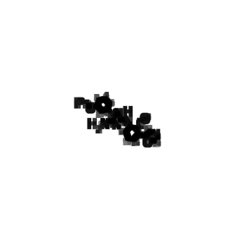 CC(C)Oc1cccc(-n2nc(NC3C=CC=C(c4cnco4)C3=C=O)nc2N)c1